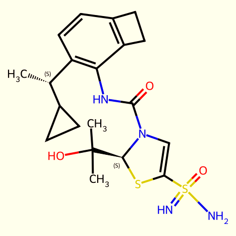 C[C@H](c1ccc2c(c1NC(=O)N1C=C(S(=N)(N)=O)S[C@H]1C(C)(C)O)CC2)C1CC1